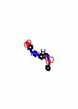 O=C(OCc1ccccc1)N1CC[C@H]2CC1c1ccc(N3CCN(Cc4ccc5c(c4)OCO5)CC3)cc12